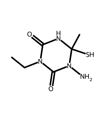 CCN1C(=O)NC(C)(S)N(N)C1=O